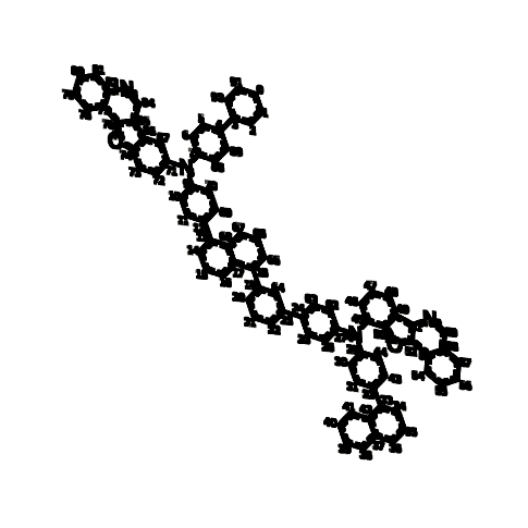 c1ccc(-c2ccc(N(c3ccc(-c4cccc5c(-c6cccc(-c7ccc(N(c8ccc(-c9cccc%10ccccc9%10)cc8)c8cccc9c8oc8c%10ccccc%10cnc98)cc7)c6)cccc45)cc3)c3ccc4oc5c6ccccc6ncc5c4c3)cc2)cc1